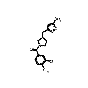 Nc1cc(CC2CCN(C(=O)c3ccc(C(F)(F)F)c(Cl)c3)C2)no1